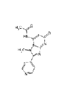 CC(=O)Nc1cc(=O)nc2nc(-c3ccncc3)n(C)n12